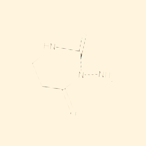 NN1C(=O)CCNC1=S